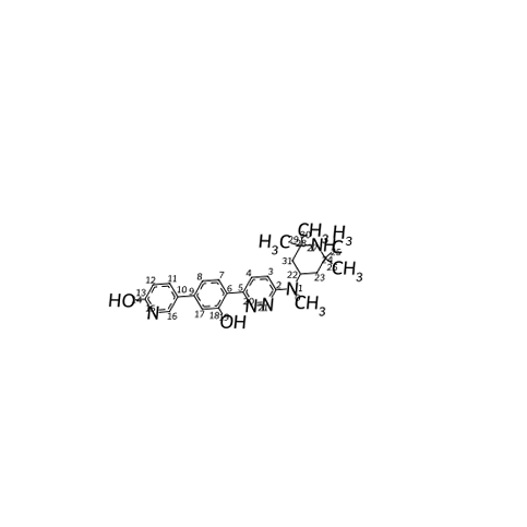 CN(c1ccc(-c2ccc(-c3ccc(O)nc3)cc2O)nn1)C1CC(C)(C)NC(C)(C)C1